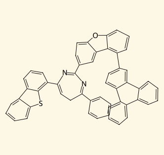 C1=C(c2cccc3c2sc2ccccc23)N=C(c2ccc3oc4cccc(-c5ccc6c7ccccc7c7ccccc7c6c5)c4c3c2)N=C(c2ccccc2)C1